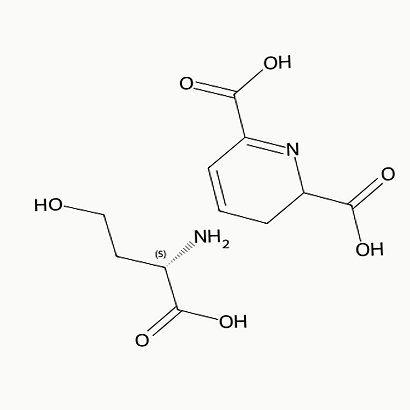 N[C@@H](CCO)C(=O)O.O=C(O)C1=NC(C(=O)O)CC=C1